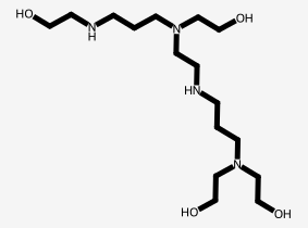 OCCNCCCN(CCO)CCNCCCN(CCO)CCO